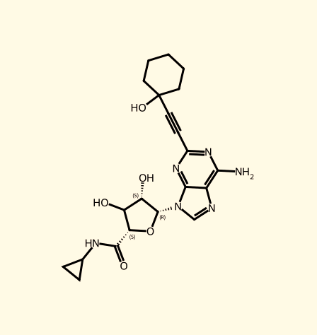 Nc1nc(C#CC2(O)CCCCC2)nc2c1ncn2[C@@H]1O[C@H](C(=O)NC2CC2)C(O)[C@@H]1O